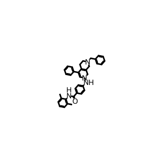 Cc1cccc(C)c1NC(=O)c1ccc(NN2C=C(c3ccccc3)C3=C(CN(Cc4ccccc4)CC3)C2)cc1